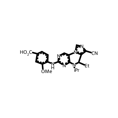 CCC1c2c(C#N)ncn2-c2cnc(Nc3ccc(C(=O)O)cc3OC)nc2N1C(C)C